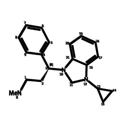 CNCC[C@H](c1ccccc1)N1[CH]N(C2CC2)c2ccccc21